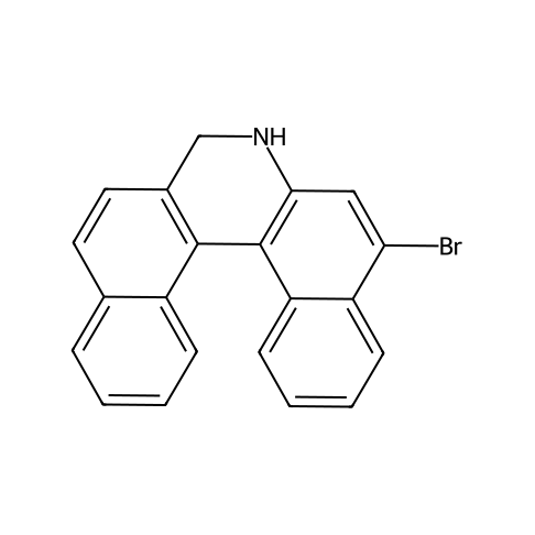 Brc1cc2c(c3ccccc13)-c1c(ccc3ccccc13)CN2